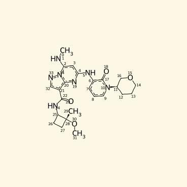 CNc1cc(Nc2cccn([C@@H]3CCCOC3)c2=O)nc2c(C(=O)NC3CC[C@@]3(C)OC)cnn12